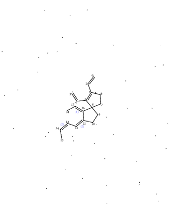 C=CC1=C(C=C)C2(CC1)CCC(=C/C=C\C)/C2=C\C